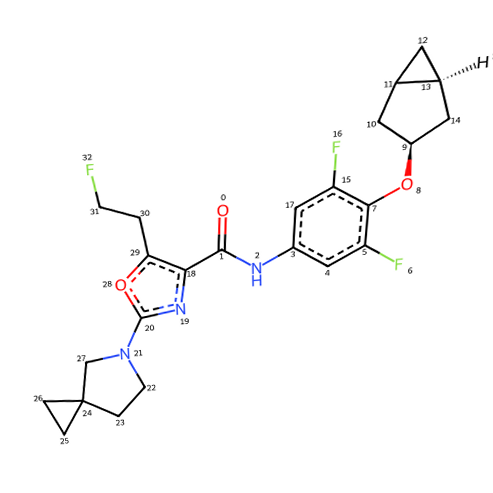 O=C(Nc1cc(F)c(O[C@H]2CC3C[C@H]3C2)c(F)c1)c1nc(N2CCC3(CC3)C2)oc1CCF